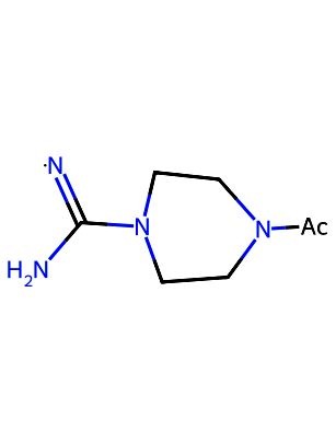 CC(=O)N1CCN(C(=[N])N)CC1